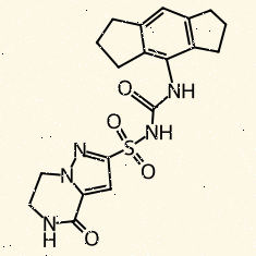 O=C(Nc1c2c(cc3c1CCC3)CCC2)NS(=O)(=O)c1cc2n(n1)CCNC2=O